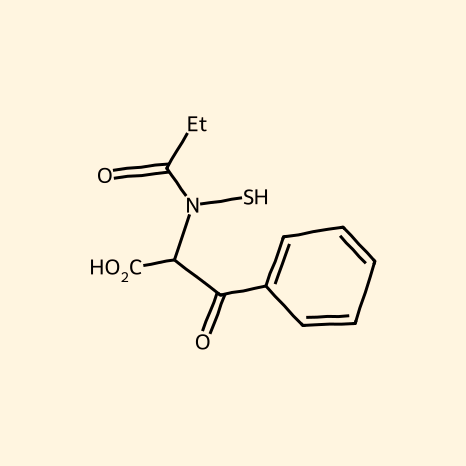 CCC(=O)N(S)C(C(=O)O)C(=O)c1ccccc1